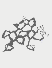 C=Cc1c(/C=C\C)c(-c2ccco2)c2ccccc2c1-c1cccc2sc3ccc(-c4c5ccccc5c(-c5ccco5)c5ccccc45)cc3c12